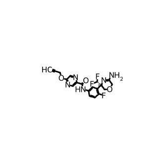 C#CCOc1cnc(C(=O)Nc2ccc(F)c([C@]3(C(F)F)COCC(N)=N3)c2)cn1